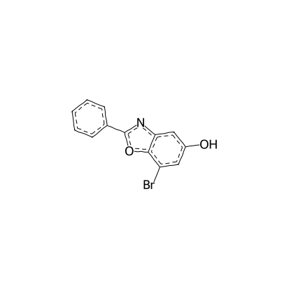 Oc1cc(Br)c2oc(-c3ccccc3)nc2c1